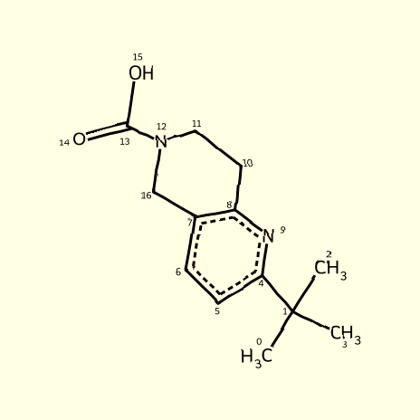 CC(C)(C)c1ccc2c(n1)CCN(C(=O)O)C2